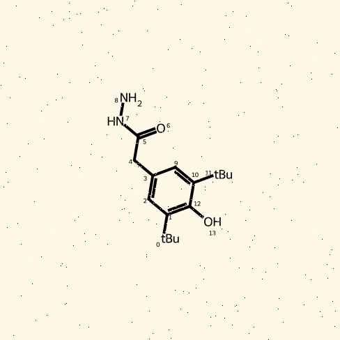 CC(C)(C)c1cc(CC(=O)NN)cc(C(C)(C)C)c1O